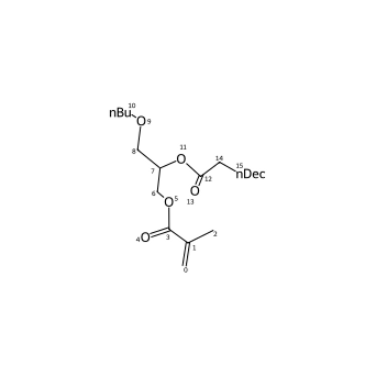 C=C(C)C(=O)OCC(COCCCC)OC(=O)CCCCCCCCCCC